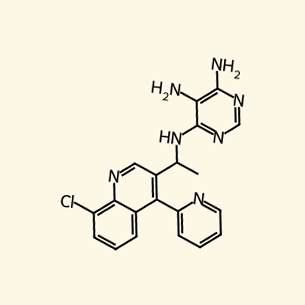 CC(Nc1ncnc(N)c1N)c1cnc2c(Cl)cccc2c1-c1ccccn1